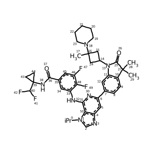 CC(C)n1cnc2cc(-c3ccc4c(c3)N(C3CC(C)(N5CCCCC5)C3)C(=O)C4(C)C)nc(Nc3cc(C(=O)NC4(C(F)F)CC4)cc(F)c3F)c21